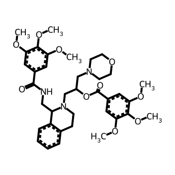 COc1cc(C(=O)NCC2c3ccccc3CCN2CC(CN2CCOCC2)OC(=O)c2cc(OC)c(OC)c(OC)c2)cc(OC)c1OC